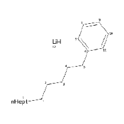 CCCCCCCCCCCCc1ccccc1.[LiH]